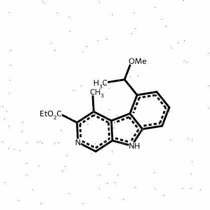 CCOC(=O)c1ncc2[nH]c3cccc(C(C)OC)c3c2c1C